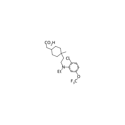 CCN(CCC1(C)CCC(CC(=O)O)CC1)c1cc(OC(F)(F)F)ccc1Cl